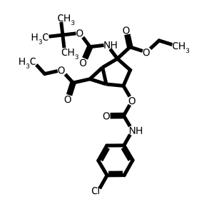 CCOC(=O)C1C2C(OC(=O)Nc3ccc(Cl)cc3)CC(NC(=O)OC(C)(C)C)(C(=O)OCC)C12